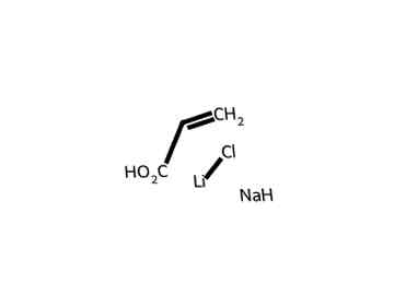 C=CC(=O)O.[Li][Cl].[NaH]